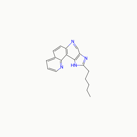 CCCCCc1nc2cnc3ccc4cccnc4c3c2[nH]1